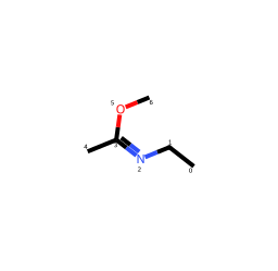 CC/N=C(/C)OC